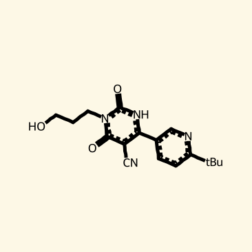 CC(C)(C)c1ccc(-c2[nH]c(=O)n(CCCO)c(=O)c2C#N)cn1